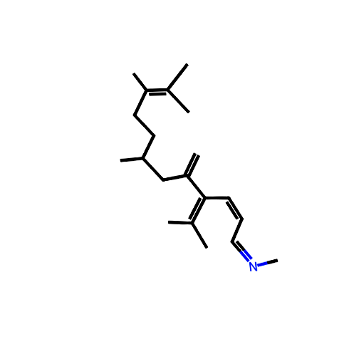 C=C(CC(C)CCC(C)=C(C)C)C(/C=C\C=N/C)=C(C)C